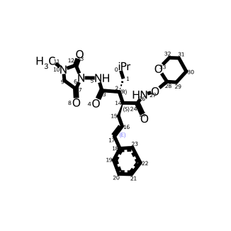 CC(C)C[C@@H](C(=O)NN1C(=O)CN(C)C1=O)[C@H](C/C=C/c1ccccc1)C(=O)NOC1CCCCO1